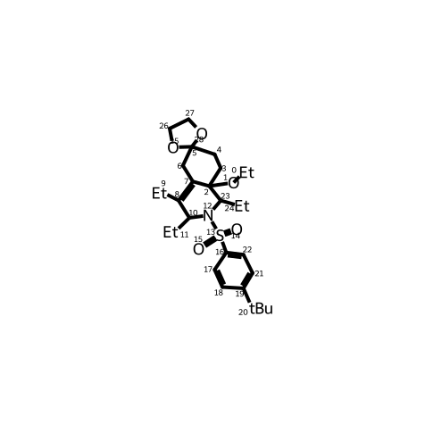 CCOC12CCC3(CC1=C(CC)C(CC)N(S(=O)(=O)c1ccc(C(C)(C)C)cc1)C2CC)OCCO3